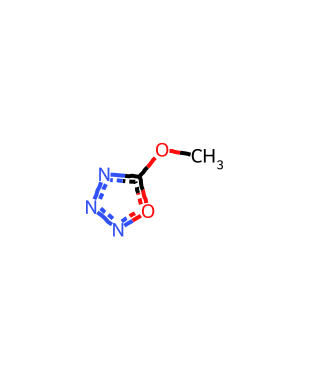 COc1nnno1